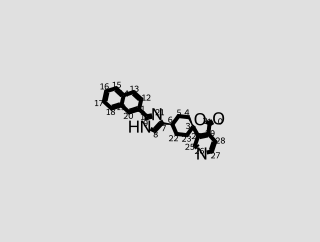 O=C1O[C@]2(CC[C@H](c3c[nH]c(-c4ccc5ccccc5c4)n3)CC2)c2cnccc21